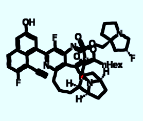 C#Cc1c(F)ccc2cc(O)cc(-c3nc4c5c(nc(OC[C@@]67CCCN6C[C@H](F)C7)nc5c3F)N3C[C@H]5CC[C@@H]([C@H]3CCC4)N5Cc3oc(=O)oc3CCCCCC)c12